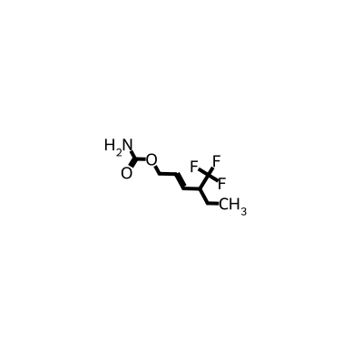 CCC(C=CCOC(N)=O)C(F)(F)F